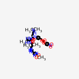 CC(C)[C@H](NC(=O)C(C)(C)CCn1cc(-c2cnc(S(C)(=O)=O)nc2)nn1)C(=O)N[C@@H](CCCCN(C)C)C(=O)Nc1ccc(COC(=O)Oc2ccc([N+](=O)[O-])cc2)cc1